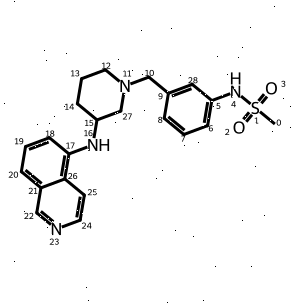 CS(=O)(=O)Nc1cccc(CN2CCCC(Nc3cccc4cnccc34)C2)c1